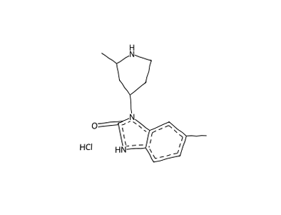 Cc1ccc2[nH]c(=O)n(C3CCNC(C)C3)c2c1.Cl